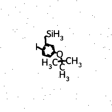 CC(C)(C)Oc1ccc(I)c(C[SiH3])c1